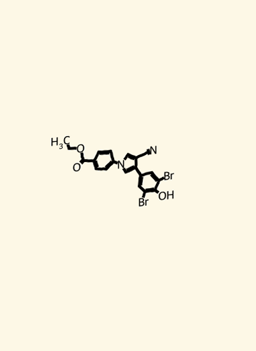 CCOC(=O)c1ccc(-n2cc(C#N)c(-c3cc(Br)c(O)c(Br)c3)c2)cc1